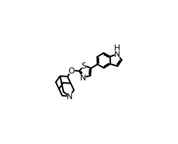 c1cc2cc(-c3cnc(OC4C5CC6CC4CN(C6)C5)s3)ccc2[nH]1